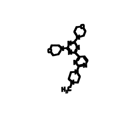 CN1CCN(c2nccc(-c3nc(N4CCOCC4)nc(N4CCOCC4)n3)n2)CC1